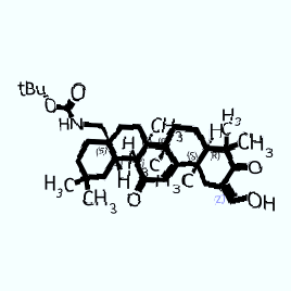 CC1(C)CC[C@]2(CNC(=O)OC(C)(C)C)CC[C@]3(C)[C@H](C(=O)C=C4[C@@]5(C)C/C(=C/O)C(=O)C(C)(C)[C@@H]5CC[C@]43C)[C@@H]2C1